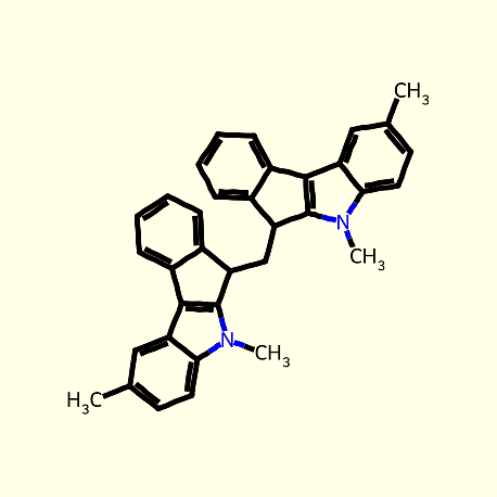 Cc1ccc2c(c1)c1c(n2C)C(CC2c3ccccc3-c3c2n(C)c2ccc(C)cc32)c2ccccc2-1